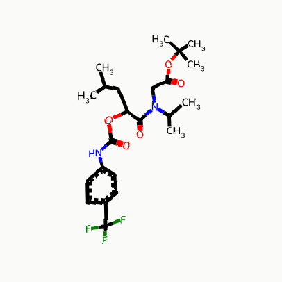 CC(C)CC(OC(=O)Nc1ccc(C(F)(F)F)cc1)C(=O)N(CC(=O)OC(C)(C)C)C(C)C